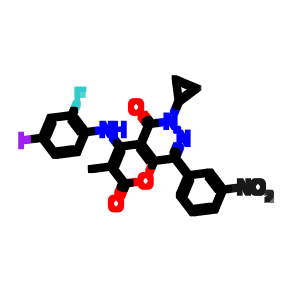 Cc1c(Nc2ccc(I)cc2F)c2c(=O)n(C3CC3)nc(-c3cccc([N+](=O)[O-])c3)c2oc1=O